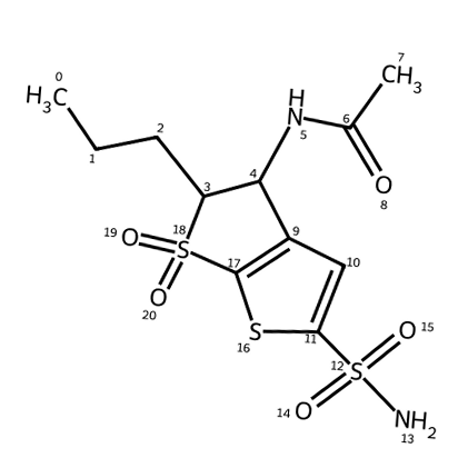 CCCC1C(NC(C)=O)c2cc(S(N)(=O)=O)sc2S1(=O)=O